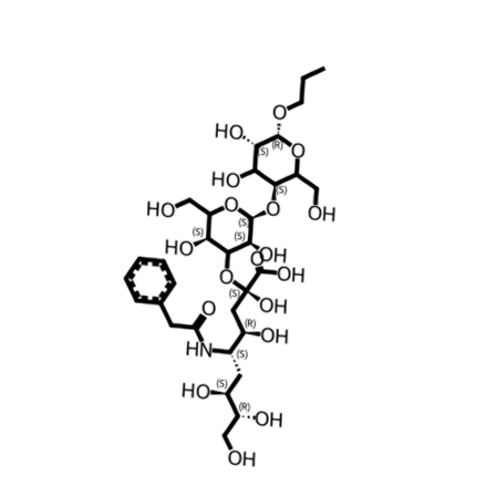 CCCO[C@@H]1OC(CO)[C@@H](O[C@@H]2OC(CO)[C@H](O)C(O[C@@](O)(C[C@@H](O)[C@H](C[C@H](O)[C@H](O)CO)NC(=O)Cc3ccccc3)C(=O)O)[C@@H]2O)C(O)[C@@H]1O